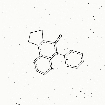 O=c1c2c(c3cccnc3n1-c1ccccc1)CCC2